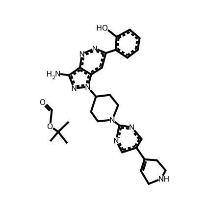 CC(C)(C)OC=O.Nc1nn(C2CCN(c3ncc(C4=CCNCC4)cn3)CC2)c2cc(-c3ccccc3O)nnc12